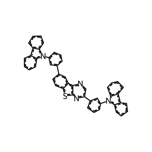 c1cc(-c2ccc3sc4nc(-c5cccc(-n6c7ccccc7c7ccccc76)c5)cnc4c3c2)cc(-n2c3ccccc3c3ccccc32)c1